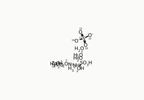 N.N.O.O.O.O.O.O.O=S(=O)(O)O.O=S(=O)([O-])[O-].[Zn+2]